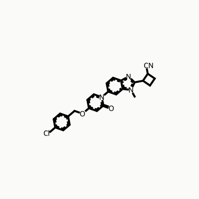 Cn1c(C2CCC2C#N)nc2ccc(-n3ccc(OCc4ccc(Cl)cc4)cc3=O)cc21